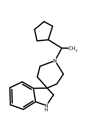 CC(C1CCCC1)N1CCC2(CC1)CNc1ccccc12